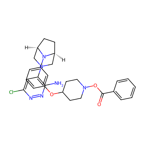 Nc1nnc(Cl)cc1N1C[C@H]2CC[C@@H](C1)N2c1cccc(OC2CCN(OC(=O)c3ccccc3)CC2)c1